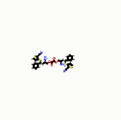 N#Cc1sccc1S[C@H](C[C@H](N)COC(=O)C(=O)OC[C@@H](N)C[C@@H](Sc1ccsc1C#N)c1ccccc1)c1ccccc1